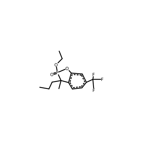 CCCC1(C)c2ccc(C(F)(F)F)cc2OP1(=O)OCC